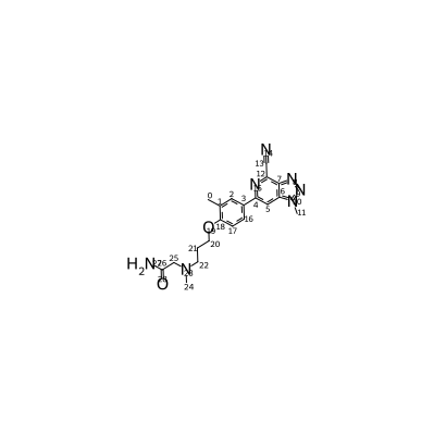 Cc1cc(-c2cc3c(nnn3C)c(C#N)n2)ccc1OCCCN(C)CC(N)=O